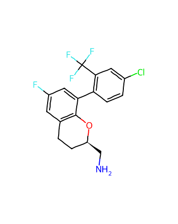 NC[C@H]1CCc2cc(F)cc(-c3ccc(Cl)cc3C(F)(F)F)c2O1